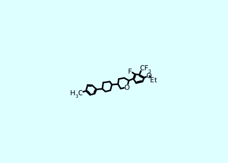 CCOc1ccc(C2CCC(C3CCC(c4ccc(C)cc4)CC3)CO2)c(F)c1C(F)(F)F